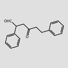 O=CC(CC(=O)CCc1ccccc1)c1ccccc1